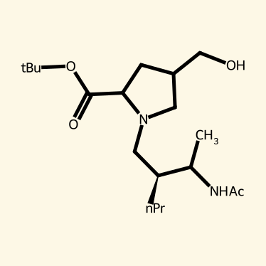 CCC[C@@H](CN1CC(CO)CC1C(=O)OC(C)(C)C)C(C)NC(C)=O